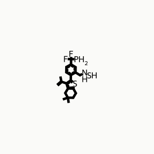 C=C(C)c1c(-c2ccc(C(F)(F)P)cc2CNS)sc2c1CC(C)(C)CC2